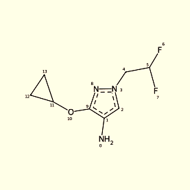 Nc1cn(CC(F)F)nc1OC1CC1